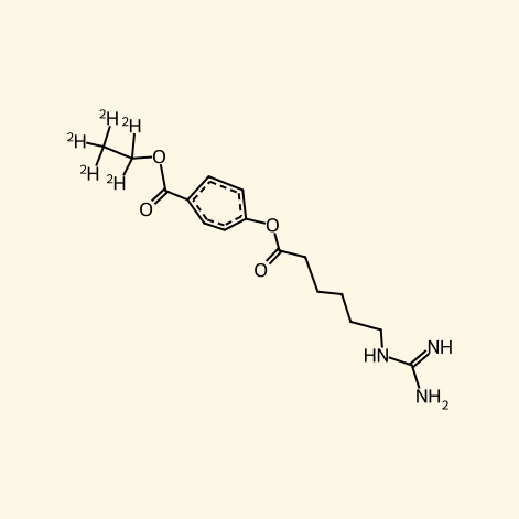 [2H]C([2H])([2H])C([2H])([2H])OC(=O)c1ccc(OC(=O)CCCCCNC(=N)N)cc1